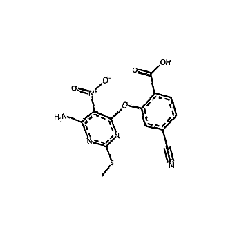 CSc1nc(N)c([N+](=O)[O-])c(Oc2cc(C#N)ccc2C(=O)O)n1